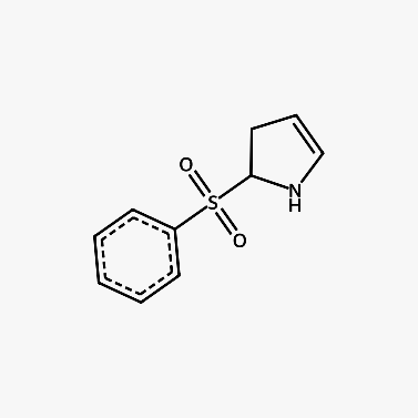 O=S(=O)(c1ccccc1)C1CC=CN1